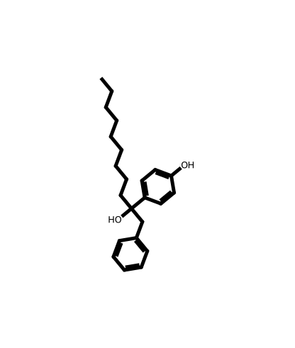 CCCCCCCCCC(O)(Cc1ccccc1)c1ccc(O)cc1